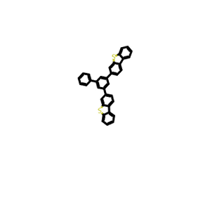 c1ccc(-c2cc(-c3ccc4c(c3)sc3ccccc34)cc(-c3ccc4c(c3)sc3ccccc34)c2)cc1